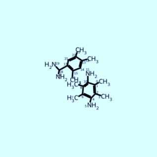 Cc1c(C)c(N)c(C)c(C)c1N.Cc1cc(C)c(C(N)N)cc1C